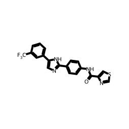 O=C(Nc1ccc(-c2ncc(-c3cccc(C(F)(F)F)c3)[nH]2)cc1)c1cscn1